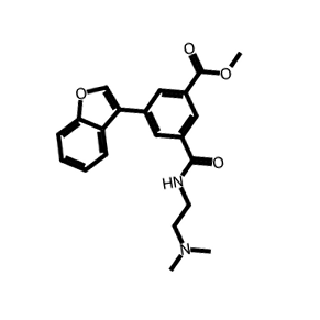 COC(=O)c1cc(C(=O)NCCN(C)C)cc(-c2coc3ccccc23)c1